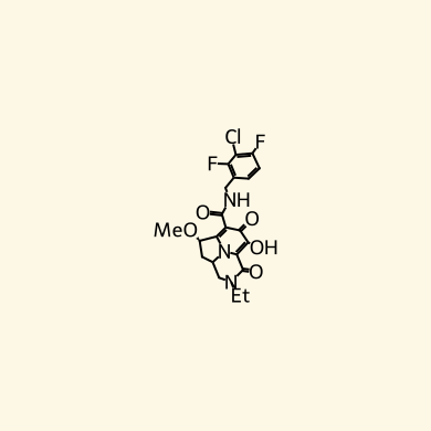 CCN1CC2C[C@@H](OC)c3c(C(=O)NCc4ccc(F)c(Cl)c4F)c(=O)c(O)c(n32)C1=O